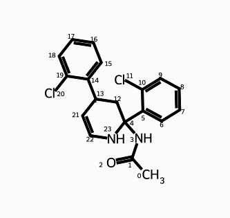 CC(=O)NC1(c2ccccc2Cl)C[C](c2ccccc2Cl)C=CN1